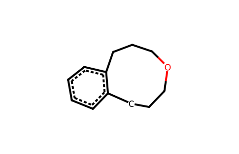 c1ccc2c(c1)CCCOCCC2